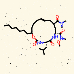 CCCCCCCC1CCC/C=C/CC(C(=O)N(C)C)C[C@H](C(=O)N(C)OC)NC(=O)[C@H](CC(C)C)NC(=O)O1